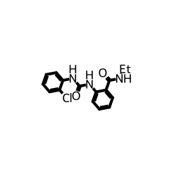 CCNC(=O)c1ccccc1NC(=O)Nc1ccccc1Cl